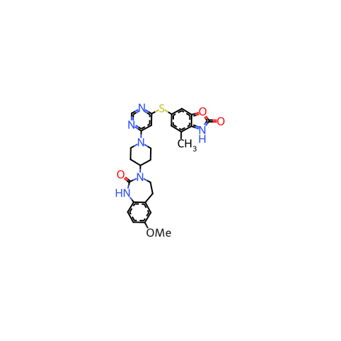 COc1ccc2c(c1)CCN(C1CCN(c3cc(Sc4cc(C)c5[nH]c(=O)oc5c4)ncn3)CC1)C(=O)N2